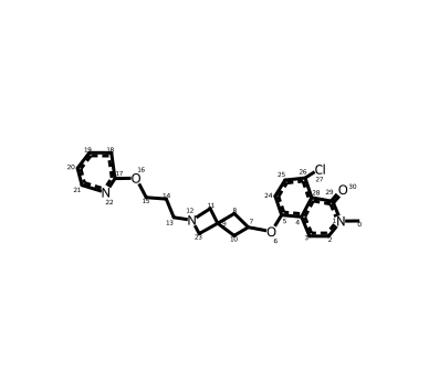 Cn1ccc2c(OC3CC4(C3)CN(CCCOc3ccccn3)C4)ccc(Cl)c2c1=O